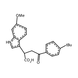 COc1ccc2c(C(CC(=O)c3ccc(C(C)(C)C)cc3)C(=O)O)c[nH]c2c1